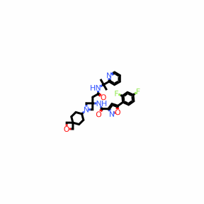 CC(C)(NC(=O)CC1(NC(=O)c2cc(-c3ccc(F)cc3F)on2)CN(C2CCC3(CC2)COC3)C1)c1ccccn1